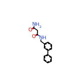 NC(=O)CC(=O)NCc1cccc(-c2ccccc2)c1